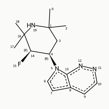 CC1(C)C[C@@H](n2ccc3ccnnc32)[C@@H](F)C(C)(C)N1